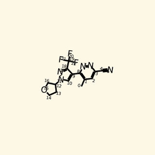 Cc1cc(C#N)nnc1-c1cn(C2CCOC2)nc1C(F)(F)F